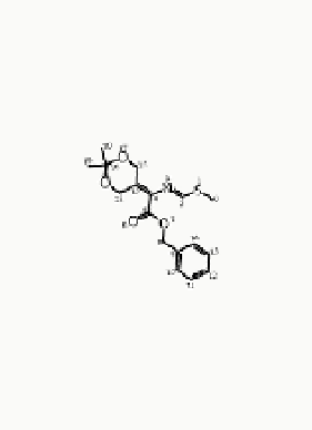 CSC=NC(C(=O)OCc1ccccc1)=C1COC(C)(C)OC1